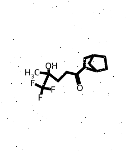 CC(O)(CCC(=O)C1CC2CCC1C2)C(F)(F)F